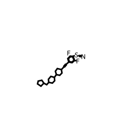 N#CSc1c(F)cc(C#CC2CCC(C3CCC(CC4CCCC4)CC3)CC2)cc1F